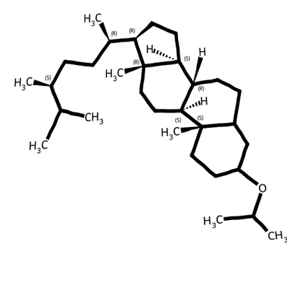 CC(C)OC1CC[C@@]2(C)C(CC[C@H]3[C@@H]4CC[C@H]([C@H](C)CC[C@H](C)C(C)C)[C@@]4(C)CC[C@@H]32)C1